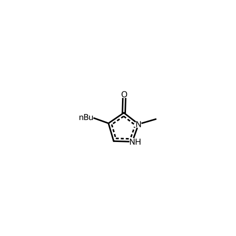 CCCCc1c[nH]n(C)c1=O